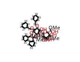 COC(O)[C@H]1O[C@@](O[C@H]2[C@@H](O)[C@@H](OCc3ccccc3)[C@H](OCc3ccccc3)[C@@H](OCc3ccccc3)[C@@H]2OCc2ccccc2)(C(C)=O)[C@](O)(OC)[C@](O)(OC)[C@@]1(O)OC